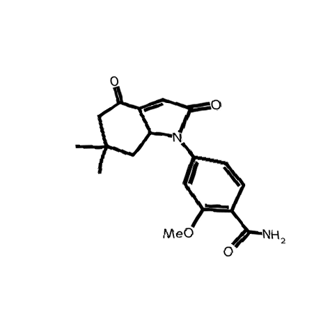 COc1cc(N2C(=O)C=C3C(=O)CC(C)(C)CC32)ccc1C(N)=O